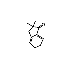 CC1(C)CC2=CCCC=C2C1=O